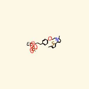 CCOC(CCc1ccc(OCCn2c(C)ccc2-c2ccc(C)s2)cc1)OS(C)(=O)=O